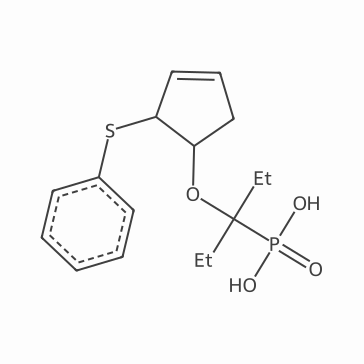 CCC(CC)(OC1CC=CC1Sc1ccccc1)P(=O)(O)O